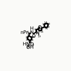 CCC[C@@H](NC(=O)c1cc2oc(-c3ccccc3)cc2n1C)c1ccc(C(=O)NO)cc1